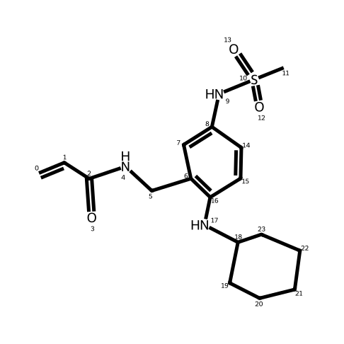 C=CC(=O)NCc1cc(NS(C)(=O)=O)ccc1NC1CCCCC1